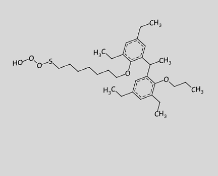 CCCOc1c(CC)cc(CC)cc1C(C)c1cc(CC)cc(CC)c1OCCCCCCCSOOO